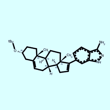 CC(C)(C)O[C@@H]1CC[C@@]2(C)C(=CC[C@@H]3[C@@H]2CC[C@]2(C)C(c4ccc5c(N)n[nH]c5c4)=CC[C@@H]32)C1